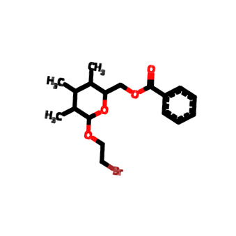 CC1C(COC(=O)c2ccccc2)OC(OCCBr)C(C)C1C